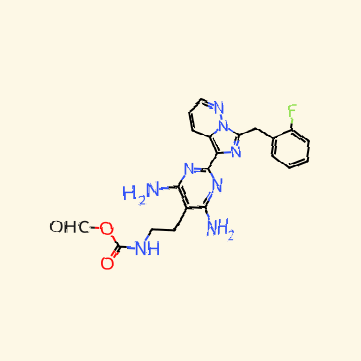 Nc1nc(-c2nc(Cc3ccccc3F)n3ncccc23)nc(N)c1CCNC(=O)OC=O